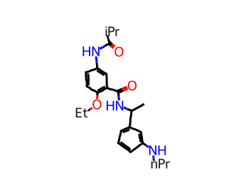 CCCNc1cccc(C(C)NC(=O)c2cc(NC(=O)C(C)C)ccc2OCC)c1